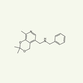 Cc1ncc(CNCc2ccccc2)c2c1OC(C)(C)OC2